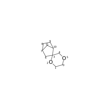 C1COC2(CO1)CC1CCC2C1